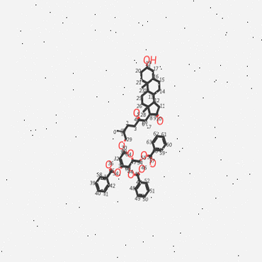 C[C@@H](CCC(=O)[C@@H](C)C1C(=O)CC2C3CCC4CC(O)CCC4(C)C3CCC21C)CO[C@H]1C=C(OC(=O)c2ccccc2)[C@@H](OC(=O)c2ccccc2)C(COC(=O)c2ccccc2)O1